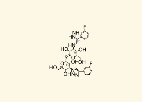 NN/C(=C\NC1C(O)[C@H](SC2O[C@H](CO)C(O)C(n3cc(-c4cccc(F)c4)nn3)[C@H]2O)OC(CO)[C@@H]1O)c1cccc(F)c1